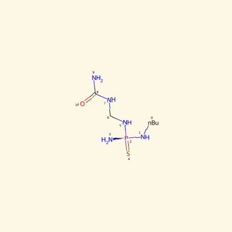 CCCCN[P@](N)(=S)NCNC(N)=O